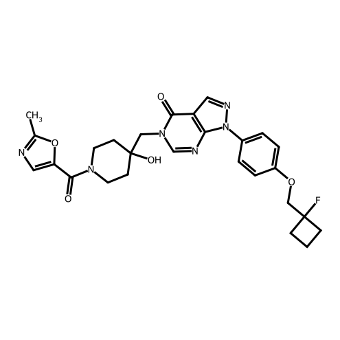 Cc1ncc(C(=O)N2CCC(O)(Cn3cnc4c(cnn4-c4ccc(OCC5(F)CCC5)cc4)c3=O)CC2)o1